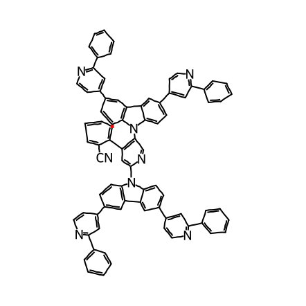 N#Cc1ccccc1-c1cc(-n2c3ccc(-c4ccnc(-c5ccccc5)c4)cc3c3cc(-c4ccnc(-c5ccccc5)c4)ccc32)ncc1-n1c2ccc(-c3ccnc(-c4ccccc4)c3)cc2c2cc(-c3ccnc(-c4ccccc4)c3)ccc21